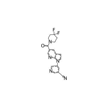 N#Cc1cncc(-n2ccc3cc(C(=O)N4CCC(F)(F)CC4)cnc32)c1